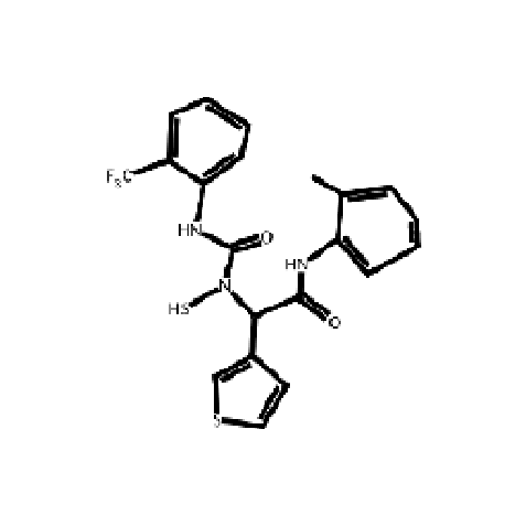 Cc1ccccc1NC(=O)C(c1ccsc1)N(S)C(=O)Nc1ccccc1C(F)(F)F